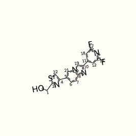 OCc1nc(-c2ccc3nc(-c4cc(F)nc(F)c4)cn3c2)cs1